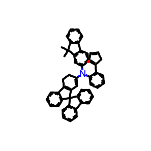 CC1(C)c2ccccc2-c2ccc(N(C3=CC4=C(CC3)c3ccccc3C43c4ccccc4-c4ccccc43)c3ccccc3C3=CC=CC3)cc21